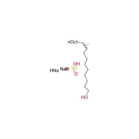 CCCCCCCC/C=C\CCCCCCCCO.O=[SH](=O)O.[NaH].[NaH]